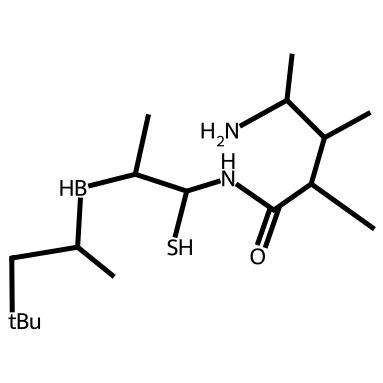 CC(BC(C)C(S)NC(=O)C(C)C(C)C(C)N)CC(C)(C)C